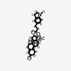 CC(=O)[C@@]1(OC(=O)CCc2ccc3c(c2)CCN3C)CC[C@H]2[C@@H]3CCC4=CC(=O)CCC4=C3CC[C@@]21C